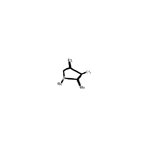 CCC1CN(C(C)(C)C)C(C(C)(C)C)C1C